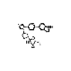 CC1(NC(=O)[C@H]2CCC(n3cncc3-c3ccc(-c4ccc5[nH]ccc5c4)cc3)C2)CC1